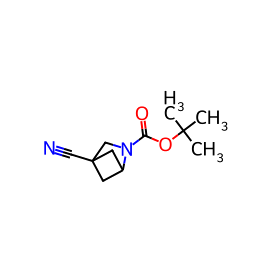 CC(C)(C)OC(=O)N1CC2(C#N)CC1C2